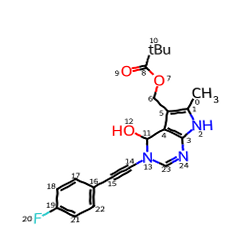 Cc1[nH]c2c(c1COC(=O)C(C)(C)C)C(O)N(C#Cc1ccc(F)cc1)C=N2